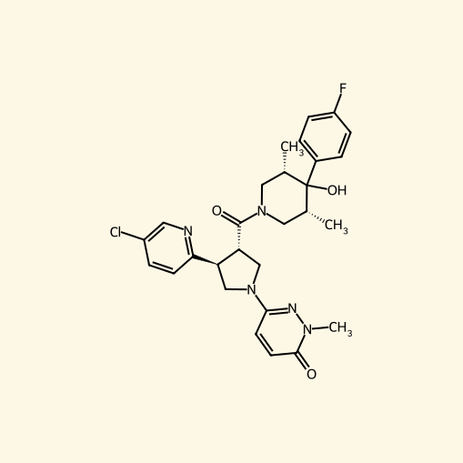 C[C@@H]1CN(C(=O)[C@@H]2CN(c3ccc(=O)n(C)n3)C[C@H]2c2ccc(Cl)cn2)C[C@H](C)C1(O)c1ccc(F)cc1